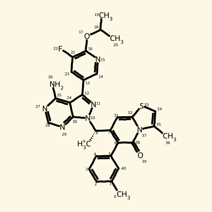 Cc1cccc(-c2c([C@H](C)n3nc(-c4cnc(OC(C)C)c(F)c4)c4c(N)ncnc43)cc3scc(C)n3c2=O)c1